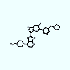 CN1CCN(c2ccnc3[nH]c(-c4n[nH]c5cc(F)c(-c6cncc(CN7CCCC7)c6)cc45)nc23)CC1